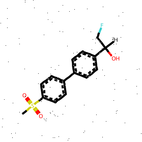 [2H]C(O)(CF)c1ccc(-c2ccc(S(C)(=O)=O)cc2)cc1